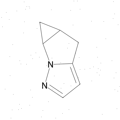 c1cc2n(n1)C1CC1C2